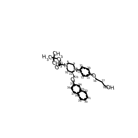 CC(C)(C)OC(=O)N1CCN(c2ccc(OCCCO)cc2)[C@@H](COc2ccc3ccccc3c2)C1